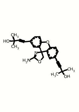 CC(C)(O)C#Cc1ccc2c(c1)C1(COC(N)=N1)c1cc(C#CC(C)(C)O)ccc1O2